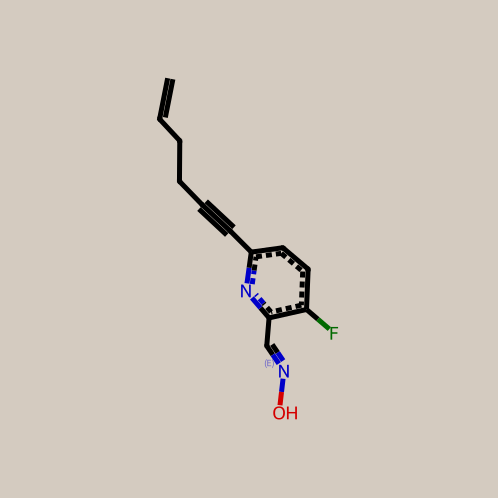 C=CCCC#Cc1ccc(F)c(/C=N/O)n1